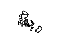 CC(=NNC(=S)NN=Cc1ccccn1)c1cc2ccccc2oc1=O